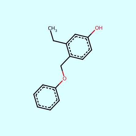 CCc1cc(O)ccc1COc1ccccc1